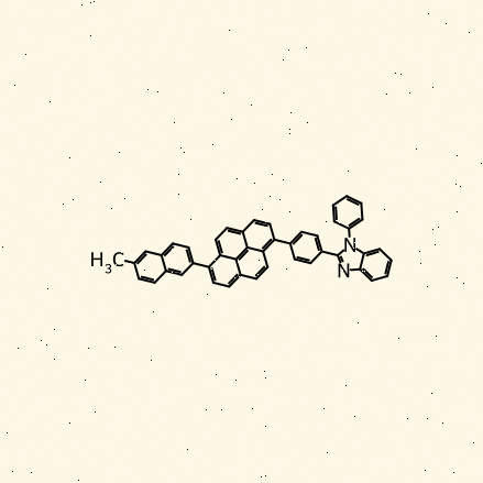 Cc1ccc2cc(-c3ccc4ccc5c(-c6ccc(-c7nc8ccccc8n7-c7ccccc7)cc6)ccc6ccc3c4c65)ccc2c1